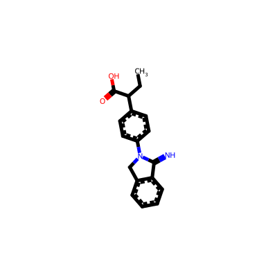 CCC(C(=O)O)c1ccc(N2Cc3ccccc3C2=N)cc1